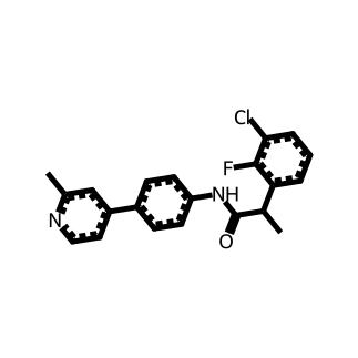 Cc1cc(-c2ccc(NC(=O)C(C)c3cccc(Cl)c3F)cc2)ccn1